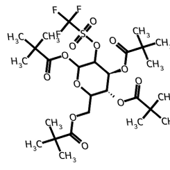 CC(C)(C)C(=O)OCC1OC(OC(=O)C(C)(C)C)C(OS(=O)(=O)C(F)(F)F)[C@@H](OC(=O)C(C)(C)C)[C@@H]1OC(=O)C(C)(C)C